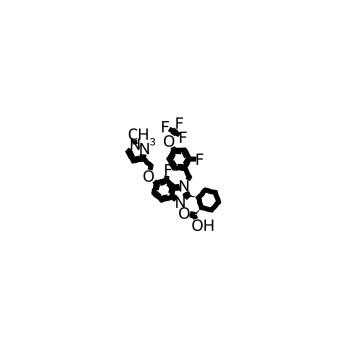 Cn1ccc(COc2ccc3nc([C@@H]4CCCC[C@@H]4C(=O)O)n(Cc4ccc(OC(F)(F)F)cc4F)c3c2F)n1